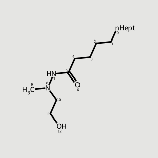 CCCCCCCCCCCC(=O)NN(C)CCO